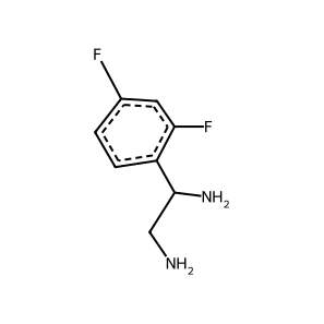 NCC(N)c1ccc(F)cc1F